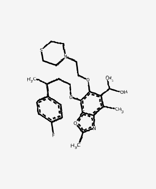 Cc1nc2c(C)c(C(C)O)c(OCCN3CCSCC3)c(OCCC(C)c3ccc(F)cc3)c2o1